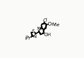 COc1cc2c(O)cc(-c3nc(C(C)C)cs3)nc2cc1Cl